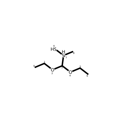 CCOC(OCC)[SiH](C)S